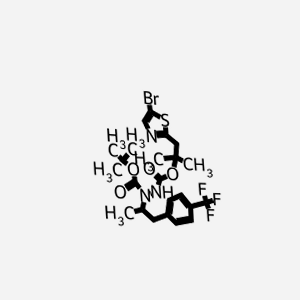 CC(Cc1ccc(C(F)(F)F)cc1)N(NC(=O)OC(C)(C)Cc1ncc(Br)s1)C(=O)OC(C)(C)C